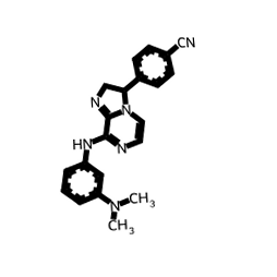 CN(C)c1cccc(NC2=NC=CN3C2=NCC3c2ccc(C#N)cc2)c1